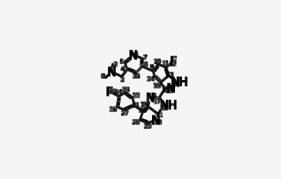 CN(C)Cc1cncc(-c2cc(F)c3[nH]nc(-c4nc5c(-c6ccc(F)cc6)ccnc5[nH]4)c3c2)c1